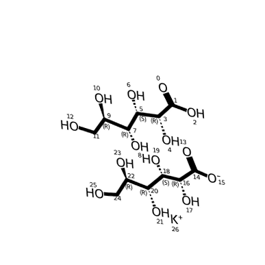 O=C(O)[C@H](O)[C@@H](O)[C@H](O)[C@H](O)CO.O=C([O-])[C@H](O)[C@@H](O)[C@H](O)[C@H](O)CO.[K+]